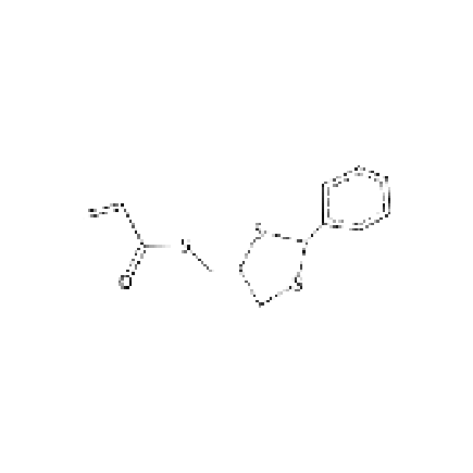 C=CC(=O)SCC1CSC(c2ccccc2)S1